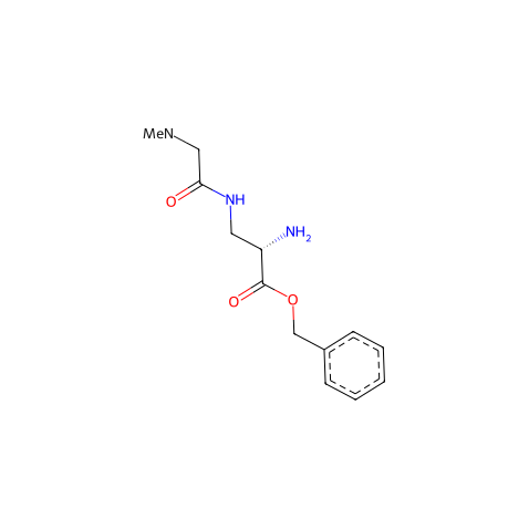 CNCC(=O)NC[C@H](N)C(=O)OCc1ccccc1